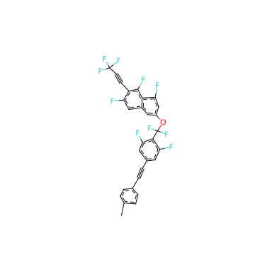 Cc1ccc(C#Cc2cc(F)c(C(F)(F)Oc3cc(F)c4c(F)c(C#CC(F)(F)F)c(F)cc4c3)c(F)c2)cc1